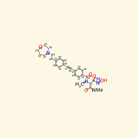 CNC(=O)C(C(=O)NO)N(C)C(=O)c1ccc(C#Cc2ccc(CCN3CCCOCC3)cc2)cc1